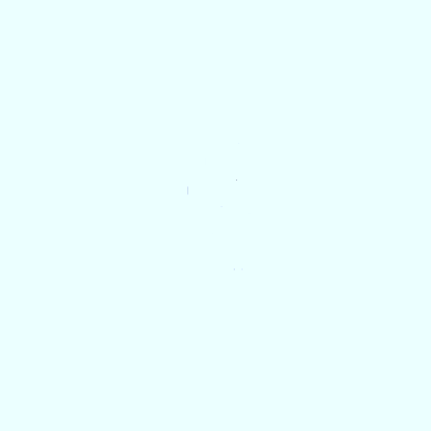 O=S(=O)(O)C(F)C(F)(F)C(F)(F)C(F)(F)C(F)(F)F